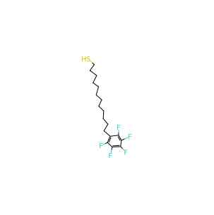 Fc1c(F)c(F)c(CCCCCCCCCCCCS)c(F)c1F